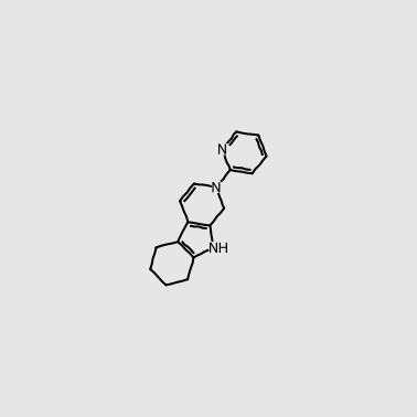 C1=CN(c2ccccn2)Cc2[nH]c3c(c21)CCCC3